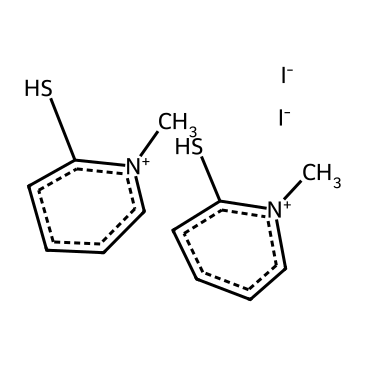 C[n+]1ccccc1S.C[n+]1ccccc1S.[I-].[I-]